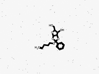 C=CCCCOC1(c2ccccc2)OC2OC(CO)C(O)C2O1